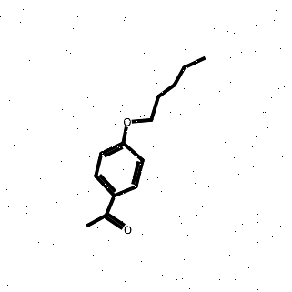 CCCCCOc1ccc(C(C)=O)cc1